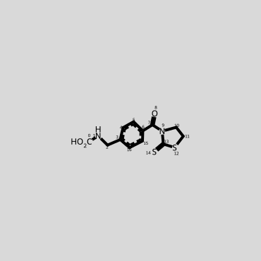 O=C(O)NCc1ccc(C(=O)N2CCSC2=S)cc1